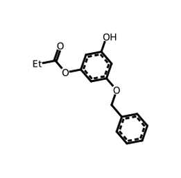 CCC(=O)Oc1cc(O)cc(OCc2ccccc2)c1